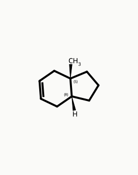 C[C@]12CC=CC[C@H]1CCC2